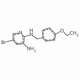 CCOc1ccc(CNc2ncc(Br)cc2N)cc1